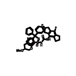 CO[C@@H]1COc2c(S(=O)(=NC(c3ccccc3)(c3ccccc3)c3ccccc3)NC(=O)Nc3c4c(c(F)c5c3C[C@@H](F)C5)CCC4)cnn2C1